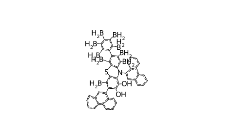 Bc1c(B)c(B)c(-c2c(B)c(B)c3c(c2B)Sc2c(B)c(-c4cc5ccccc5c5ccccc45)c(O)c(O)c2N3c2cc3ccccc3c3ccccc23)c(B)c1B